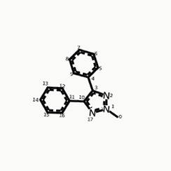 Cn1nc(-c2ccccc2)c(-c2ccccc2)n1